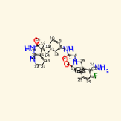 CC(C)(C)C(=O)N(CC(=O)Nc1ccc2c(c1)CC1(C2)C(=O)Nc2ncccc21)Cc1cccc(F)c1CN